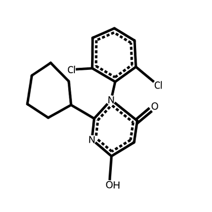 O=c1cc(O)nc(C2CCCCC2)n1-c1c(Cl)cccc1Cl